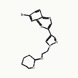 Brc1ccc2ncc(-c3cnn(CCOC4CCCCO4)c3)nc2c1